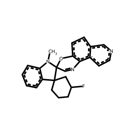 CN1c2ccccc2C2(CCCC(F)C2)C12C=Nc1c(ccc3cnccc13)O2